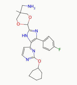 CC1(CN)COC(c2nc(-c3ccc(F)cc3)c(-c3ccnc(OC4CCCCC4)n3)[nH]2)OC1